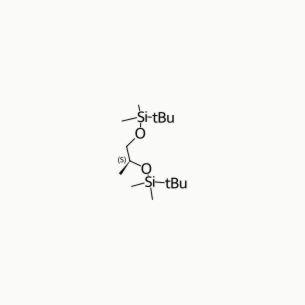 C[C@@H](CO[Si](C)(C)C(C)(C)C)O[Si](C)(C)C(C)(C)C